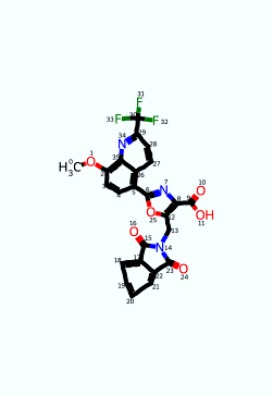 COc1ccc(-c2nc(C(=O)O)c(CN3C(=O)c4ccccc4C3=O)o2)c2ccc(C(F)(F)F)nc12